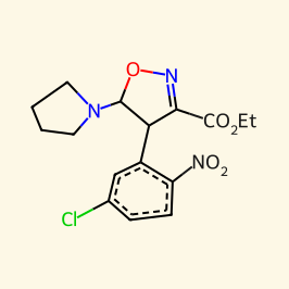 CCOC(=O)C1=NOC(N2CCCC2)C1c1cc(Cl)ccc1[N+](=O)[O-]